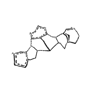 C1=NCCC2=C1N1c3ncnc4c3C(C1C2)C1Cc2ccncc2N41